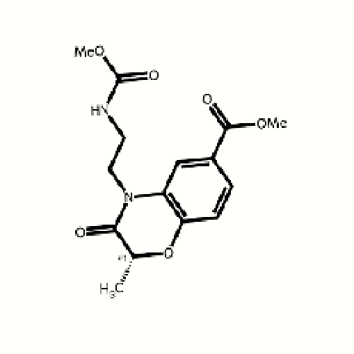 COC(=O)NCCN1C(=O)[C@@H](C)Oc2ccc(C(=O)OC)cc21